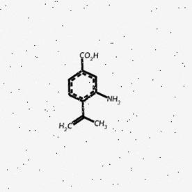 C=C(C)c1ccc(C(=O)O)cc1N